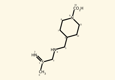 CS(=N)CNCC1CCN(C(=O)O)CC1